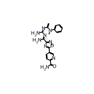 C=C(/N=C(N)\N=C(/N)c1noc(-c2ccc(C(N)=O)nc2)n1)N(C)c1ccccc1